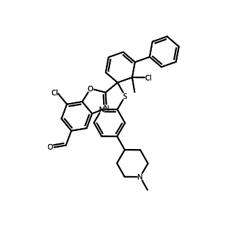 CN1CCC(c2ccnc(SC3(c4nc5cc(C=O)cc(Cl)c5o4)C=CC=C(c4ccccc4)C3(C)Cl)c2)CC1